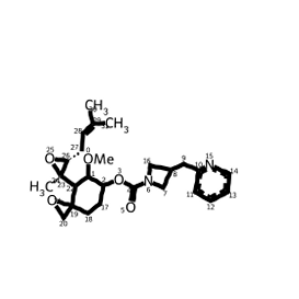 COC1C(OC(=O)N2CC(Cc3ccccn3)C2)CCC2(CO2)C1[C@@]1(C)O[C@@H]1CC=C(C)C